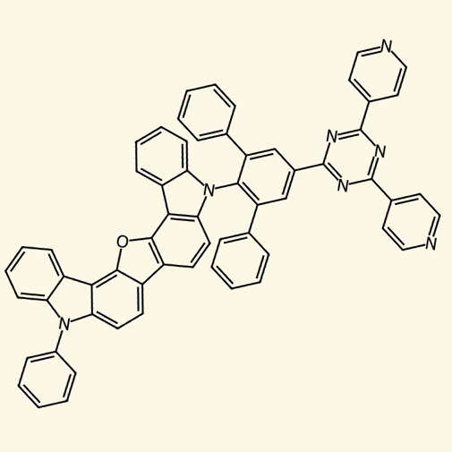 c1ccc(-c2cc(-c3nc(-c4ccncc4)nc(-c4ccncc4)n3)cc(-c3ccccc3)c2-n2c3ccccc3c3c4oc5c(ccc6c5c5ccccc5n6-c5ccccc5)c4ccc32)cc1